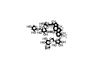 C[C@H](CC[C@@H](O[C@@H]1O[C@H](CO[C@@H]2OC[C@@H](O)C[C@H]2O)[C@@H](O)[C@H](O)[C@H]1O)C(C)(C)O)C1CC[C@@]2(C)C3CC=C4C(CC[C@H](O[C@@H]5O[C@H](CCO[C@@H]6O[C@H](CO)[C@@H](O)[C@H](O)[C@H]6O)[C@@H](O)[C@H](O)[C@H]5O)C4(C)C)[C@]3(C)[C@H](O)C[C@]12C